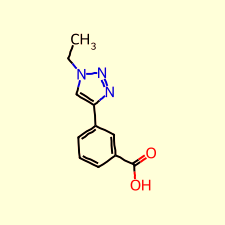 CCn1cc(-c2cccc(C(=O)O)c2)nn1